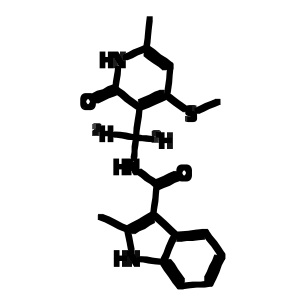 [2H]C([2H])(NC(=O)c1c(C)[nH]c2ccccc12)c1c(SC)cc(C)[nH]c1=O